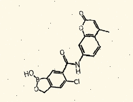 Cc1cc(=O)oc2cc(NC(=O)c3cc4c(cc3Cl)COB4O)ccc12